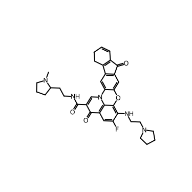 CN1CCCC1CCNC(=O)c1cn2c3cc4c5c(c(=O)c4cc3oc3c(NCCN4CCCC4)c(F)cc(c1=O)c32)C=CCC5